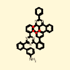 Nc1cccc(-c2ccccc2-c2nc(-c3ccccc3)nc(-c3ccccc3-c3cccc(-c4ccccc4-c4nc(C5=CCCC=C5)nc5ccccc45)c3)n2)c1